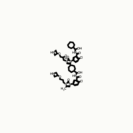 Cc1cn(-c2ccc(Cl)c(C(=O)NC(O)C3CCCCCC3)c2)c(=O)n1CCCOC1CNC1.O=C(NC(O)C1CCCCCC1)c1cc(-n2ccn(CC(O)COC3CNC3)c2=O)ccc1Cl